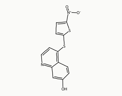 O=[N+]([O-])c1ccc(Sc2ccnc3cc(O)ccc23)s1